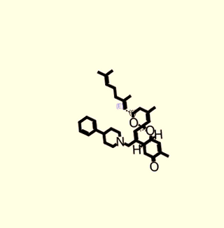 CC(C)=CCC/C(C)=C/[C@@H]1CC(C)=C[C@]2(C=C(CN3CCC(C4=CCCC=C4)CC3)[C@H]3CC(=O)C(C)=C[C@H]3O2)O1